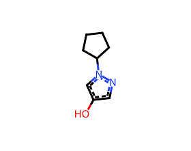 Oc1cnn(C2CCCC2)c1